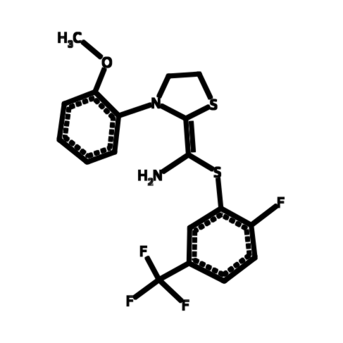 COc1ccccc1N1CCS/C1=C(/N)Sc1cc(C(F)(F)F)ccc1F